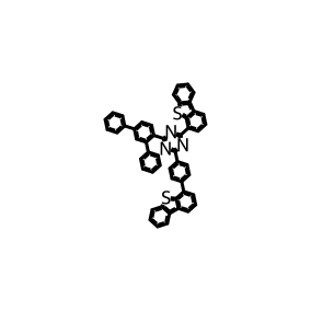 c1ccc(-c2ccc(-c3nc(-c4ccc(-c5cccc6c5sc5ccccc56)cc4)nc(-c4cccc5c4sc4ccccc45)n3)c(-c3ccccc3)c2)cc1